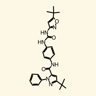 CC(C)(C)c1cc(C(=O)Nc2ccc(NC(=O)Nc3cc(C(C)(C)C)on3)cc2)n(-c2ccccc2)n1